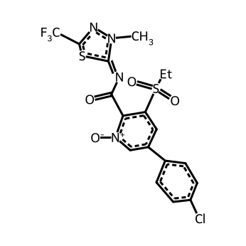 CCS(=O)(=O)c1cc(-c2ccc(Cl)cc2)c[n+]([O-])c1C(=O)/N=c1\sc(C(F)(F)F)nn1C